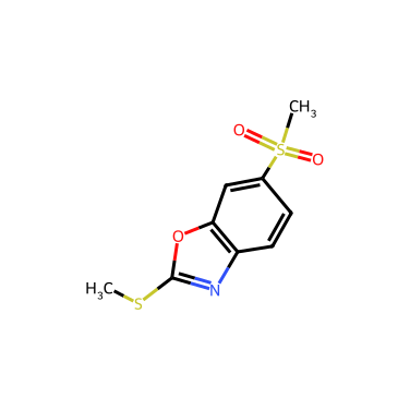 CSc1nc2ccc(S(C)(=O)=O)cc2o1